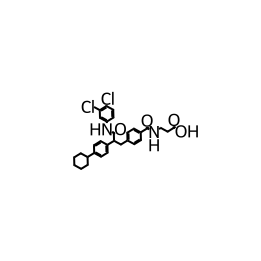 O=C(O)CCNC(=O)c1ccc(CC(C(=O)Nc2ccc(Cl)c(Cl)c2)c2ccc(C3CCCCC3)cc2)cc1